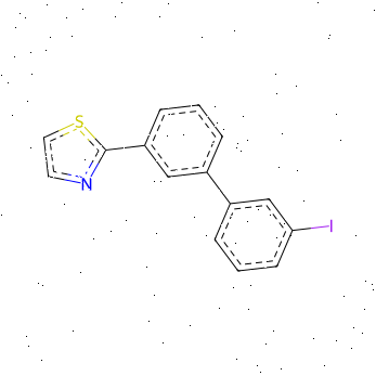 Ic1cccc(-c2cccc(-c3nccs3)c2)c1